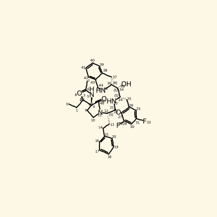 CC[C@@H](C)[C@@]1(NC(C)=O)CCN([C@@H](CCc2ccccc2)C(=O)N[C@@H](Cc2cc(F)cc(F)c2)[C@@H](O)[C@H]2Cc3ccccc3CN2)C1=O